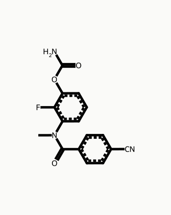 CN(C(=O)c1ccc(C#N)cc1)c1cccc(OC(N)=O)c1F